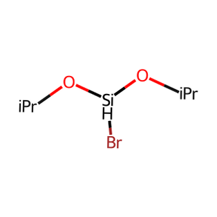 CC(C)O[SiH](Br)OC(C)C